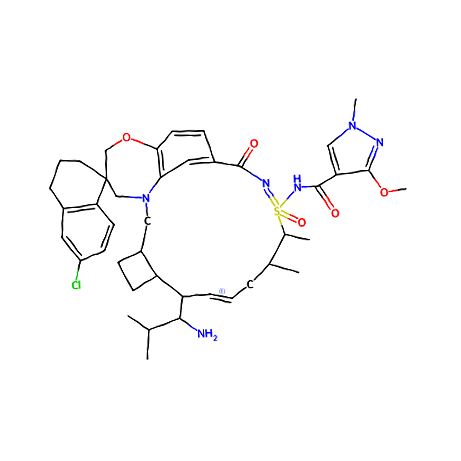 COc1nn(C)cc1C(=O)NS1(=O)=NC(=O)c2ccc3c(c2)N(CC2CCC2C(C(N)C(C)C)/C=C/CC(C)C1C)CC1(CCCc2cc(Cl)ccc21)CO3